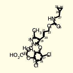 Cc1nn(C)c(Oc2cc(O[C@@H](C)C(=O)O)c(Cl)cc2Cl)c1C=CCOC(=O)NCC1CC1